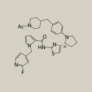 CC(=O)N1CCC(Cc2ccc(N3CCC[C@@H]3c3csc(NC(=O)c4cccn4Cc4ccnc(F)c4)n3)cc2)CC1